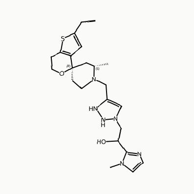 CCc1cc2c(s1)CCO[C@@]21CCN(CC2=CN(CC(O)c3nccn3C)NN2)[C@@H](C)C1